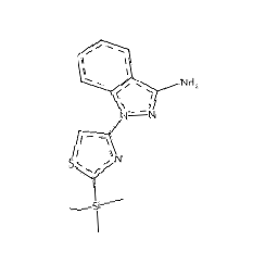 C[Si](C)(C)c1nc(-n2nc(N)c3ccccc32)cs1